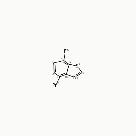 CC(C)c1ccc(F)c2scnc12